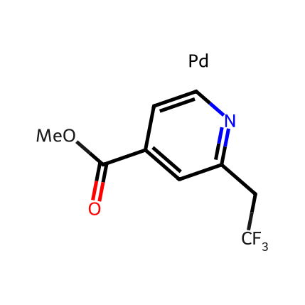 COC(=O)c1ccnc(CC(F)(F)F)c1.[Pd]